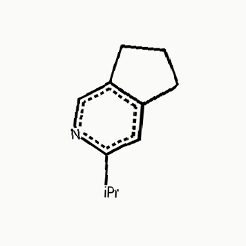 CC(C)c1cc2c(cn1)CCC2